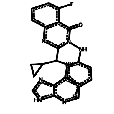 O=c1c2c(F)cccc2nc(C(Nc2ncnc3[nH]cnc23)C2CC2)n1Nc1ccc(F)cc1